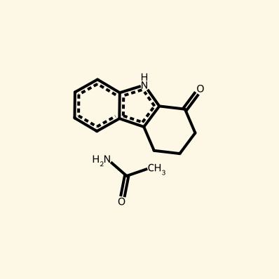 CC(N)=O.O=C1CCCc2c1[nH]c1ccccc21